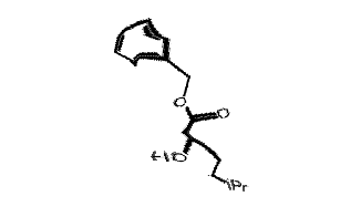 CC(C)[CH]CC(O)C(=O)OCc1ccccc1